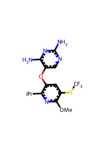 COc1nc(C(C)C)c(Oc2cnc(N)nc2N)cc1SC(F)(F)F